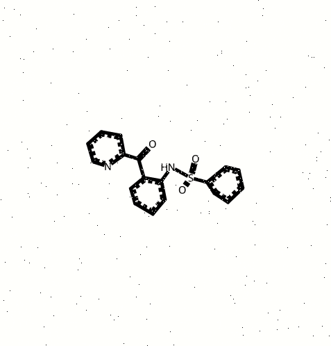 O=C(c1ccccn1)c1ccccc1NS(=O)(=O)c1ccccc1